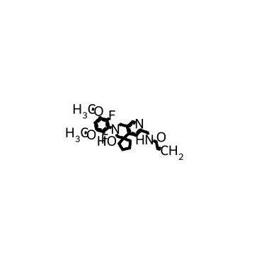 C=CC(=O)NCc1cc2c(cn1)CN(c1c(F)c(OC)cc(OC)c1F)C(O)C21CCCC1